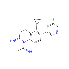 CC(=N)N1C(=N)CCc2c1ccc(-c1cncc(F)c1)c2C1CC1